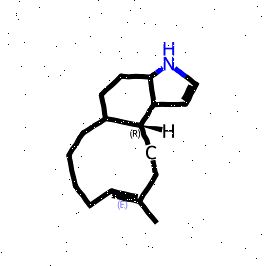 C/C1=C\CCCCC2CCC3NC=CC3[C@@H]2CC1